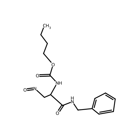 CCCCOC(=O)NC(CN=O)C(=O)NCc1ccccc1